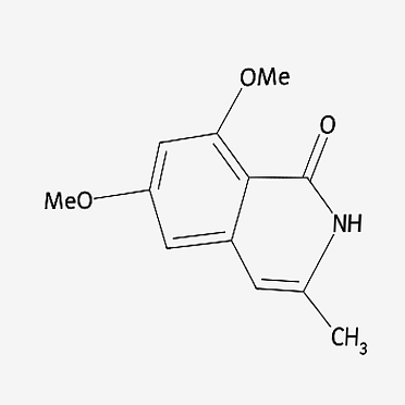 COc1cc(OC)c2c(=O)[nH]c(C)cc2c1